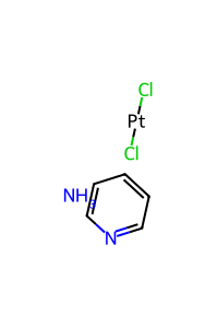 N.[Cl][Pt][Cl].c1ccncc1